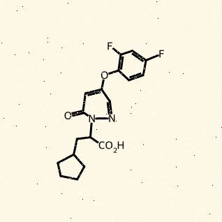 O=C(O)C(CC1CCCC1)n1ncc(Oc2ccc(F)cc2F)cc1=O